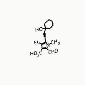 CCc1c(C(=O)O)c(C=O)n(C)c1C#CC1(O)CCCCC1